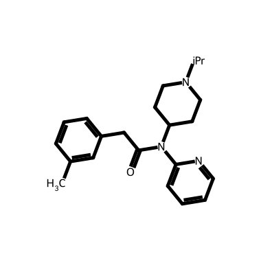 Cc1cccc(CC(=O)N(c2ccccn2)C2CCN(C(C)C)CC2)c1